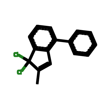 CC1=Cc2c(-c3ccccc3)cccc2C1(Cl)Cl